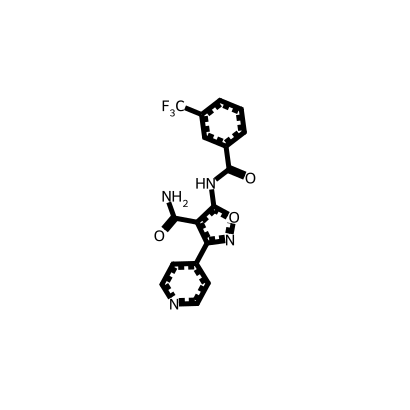 NC(=O)c1c(-c2ccncc2)noc1NC(=O)c1cccc(C(F)(F)F)c1